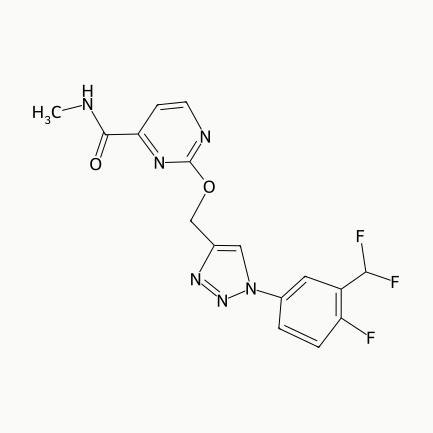 CNC(=O)c1ccnc(OCc2cn(-c3ccc(F)c(C(F)F)c3)nn2)n1